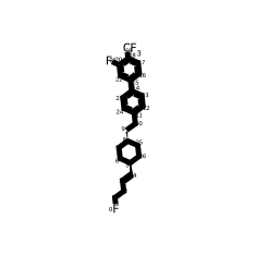 FCC/C=C/[C@H]1CC[C@H](CCc2ccc(-c3ccc(C(F)(F)F)c(F)c3)cc2)CC1